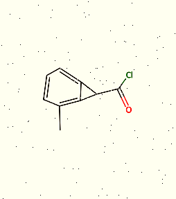 Cc1cccc2c1C2C(=O)Cl